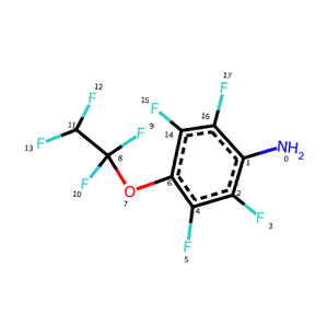 Nc1c(F)c(F)c(OC(F)(F)C(F)F)c(F)c1F